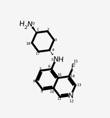 N[C@H]1CC[C@H](Nc2cccc3cncc(F)c23)CC1